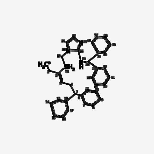 CCC(=CCC(c1ccccc1)c1ccccc1)[SiH2]Cn1ccnc1BC(c1ccccc1)c1ccccc1